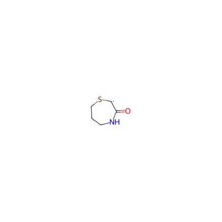 O=C1[CH]SCCCN1